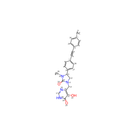 CC(=O)c1ccc(C#Cc2ccc(C3CN(Cc4nc[nH]c(=O)c4O)C(=O)N3C(C)C)cc2)cc1